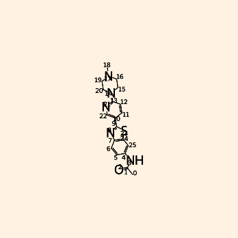 CC(=O)Nc1ccc2nc(-c3ccc(N4CCN(C)CC4)nc3)sc2c1